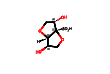 O=S(=O)(O)[C@]12OC[C@@H](O)[C@H]1OC[C@@H]2O